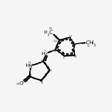 Cc1ccc([SH]=C2CCC(=O)N2)c(C)c1